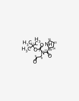 CC(C)(C)OC(=O)N(C[C]=O)C(=O)[C@@H]1CCCN1